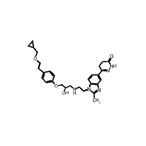 Cc1nc2cc(C3=NNC(=O)CC3)ccc2n1CCNCC(O)COc1ccc(CCOCC2CC2)cc1